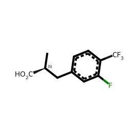 C[C@@H](Cc1ccc(C(F)(F)F)c(F)c1)C(=O)O